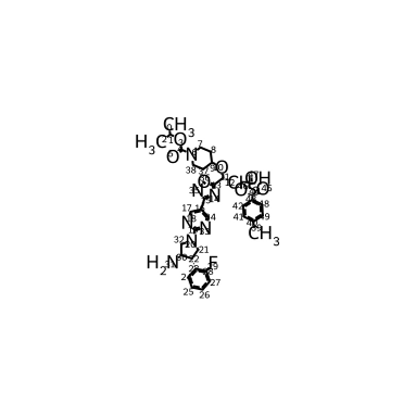 CC(C)OC(=O)N1CCC(O[C@H](C)c2nc(-c3cnc(N4C[C@H](c5ccccc5F)[C@@H](N)C4)nc3)no2)CC1.Cc1ccc(S(=O)(=O)O)cc1